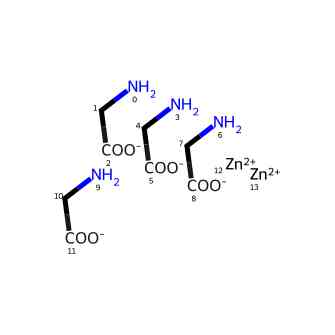 NCC(=O)[O-].NCC(=O)[O-].NCC(=O)[O-].NCC(=O)[O-].[Zn+2].[Zn+2]